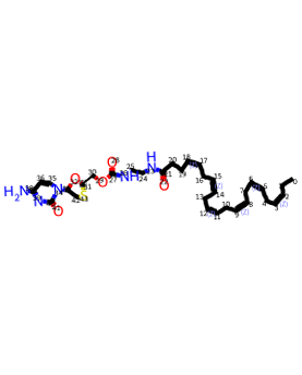 CC/C=C\C/C=C\C/C=C\C/C=C\C/C=C\C/C=C\CCC(=O)NCCNC(=O)OC[C@@H]1OC(n2ccc(N)nc2=O)CS1